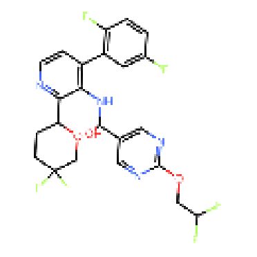 OC(Nc1c(-c2cc(F)ccc2F)ccnc1C1CCC(F)(F)CO1)c1cnc(OCC(F)F)nc1